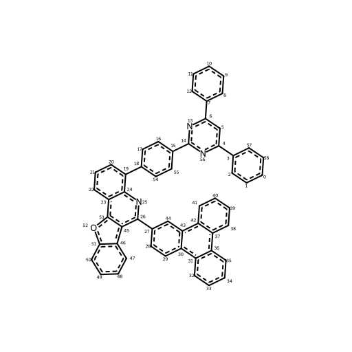 c1ccc(-c2cc(-c3ccccc3)nc(-c3ccc(-c4cccc5c4nc(-c4ccc6c7ccccc7c7ccccc7c6c4)c4c6ccccc6oc54)cc3)n2)cc1